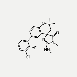 CN1C(=O)C2(CC(C)(C)Oc3ccc(-c4cccc(Cl)c4F)cc32)N=C1N